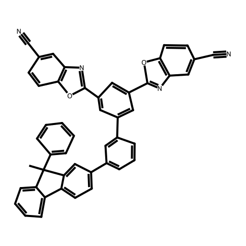 CC1(c2ccccc2)c2ccccc2-c2ccc(-c3cccc(-c4cc(-c5nc6cc(C#N)ccc6o5)cc(-c5nc6cc(C#N)ccc6o5)c4)c3)cc21